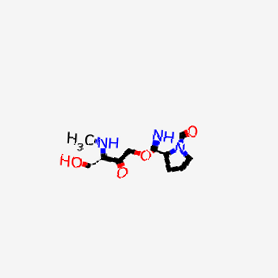 CN[C@@H](CO)C(=O)COC(=N)[C@@H]1CCCN1C=O